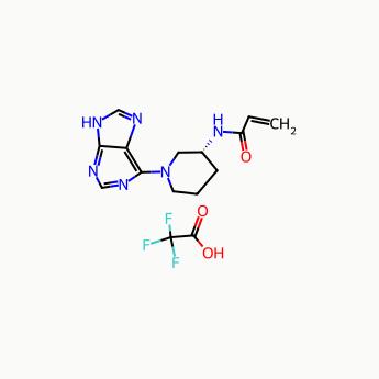 C=CC(=O)N[C@@H]1CCCN(c2ncnc3[nH]cnc23)C1.O=C(O)C(F)(F)F